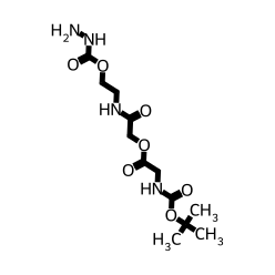 CC(C)(C)OC(=O)NCC(=O)OCC(=O)NCCOC(=O)NN